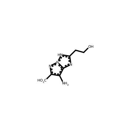 Nc1c(C(=O)O)nn2[nH]c(CCO)nc12